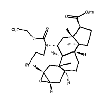 COC(=O)[C@H]1CC[C@H]2[C@@H]3CC[C@H]4C[C@@H]5O[C@@H]5C[C@]4(C)[C@H]3[C@H](N(CCC(C)C)C(=O)OCC(Cl)(Cl)Cl)C[C@]12C